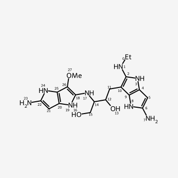 CCNc1[nH]c2cc(N)[nH]c2c1CC(O)C(CO)Nc1[nH]c2cc(N)[nH]c2c1OC